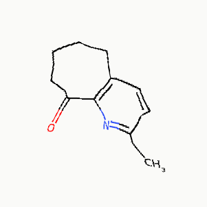 Cc1ccc2c(n1)C(=O)CCCC2